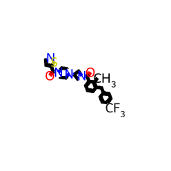 Cc1c(Cc2ccc(C(F)(F)F)cc2)cccc1C(=O)N1CC(N2CCN(C(=O)c3ccns3)CC2)C1